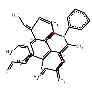 C=CC=C(/C=C\C)/C(C)=C(/C=C\C=C)C(=C\C)\C(=C/C=C)C(\C=C/C(=C)N(/C(C)=C/C=C\C=C)c1ccccc1)=C\C